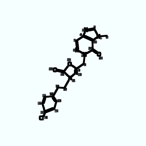 Cn1cnc2cnn(Cc3nn(CCc4ccc(Cl)cc4)c(=O)o3)c(=O)c21